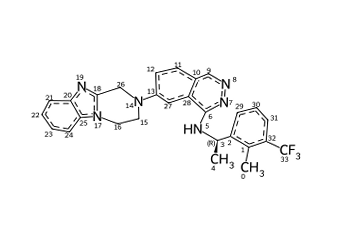 Cc1c([C@@H](C)Nc2nncc3ccc(N4CCn5c(nc6ccccc65)C4)cc23)cccc1C(F)(F)F